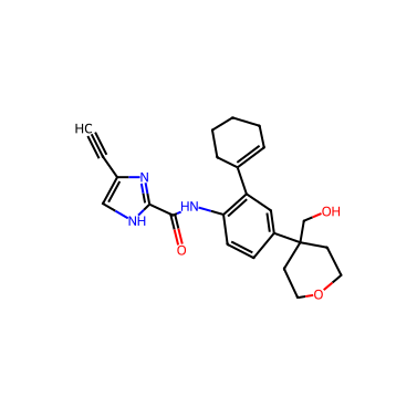 C#Cc1c[nH]c(C(=O)Nc2ccc(C3(CO)CCOCC3)cc2C2=CCCCC2)n1